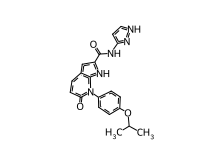 CC(C)Oc1ccc(-n2c(=O)ccc3cc(C(=O)Nc4cc[nH]n4)[nH]c32)cc1